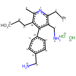 Cc1nc(CC(C)C)c(CN)c(-c2ccc(CN)cc2)c1CCC(=O)O.Cl.Cl